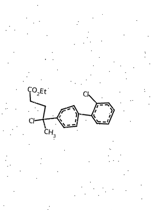 CCOC(=O)CCC(C)(Cl)c1ccc(-c2ccccc2Cl)cc1